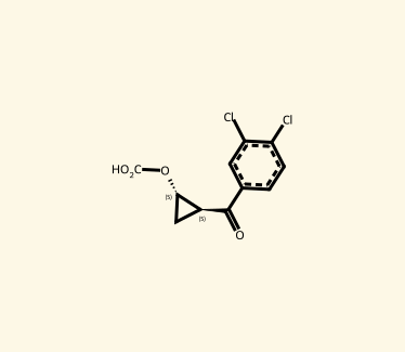 O=C(O)O[C@H]1C[C@@H]1C(=O)c1ccc(Cl)c(Cl)c1